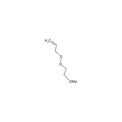 C=CCOOCCOC